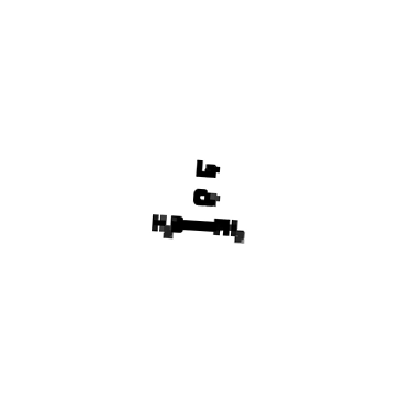 BP.[Cu].[La]